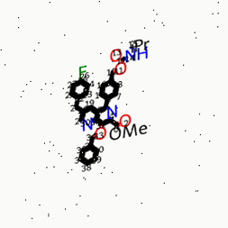 COC(=O)c1nc(-c2ccc(COC(=O)NC(C)C)cc2)c2cc(Cc3ccc(F)cc3)cnc2c1OCc1ccccc1